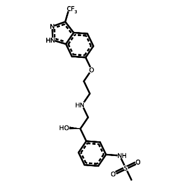 CS(=O)(=O)Nc1cccc([C@@H](O)CNCCOc2ccc3c(C(F)(F)F)n[nH]c3c2)c1